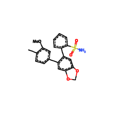 COc1cc(-c2cc3c(cc2-c2ccccc2S(N)(=O)=O)OCO3)ccc1C